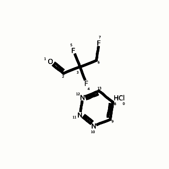 Cl.O=CC(F)(F)CF.c1cnnnc1